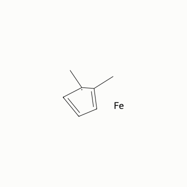 C[C]1C=CC=C1C.[Fe]